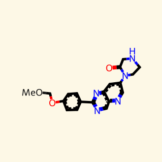 COCOc1ccc(-c2ncc3ncc(N4CCNCC4=O)cc3n2)cc1